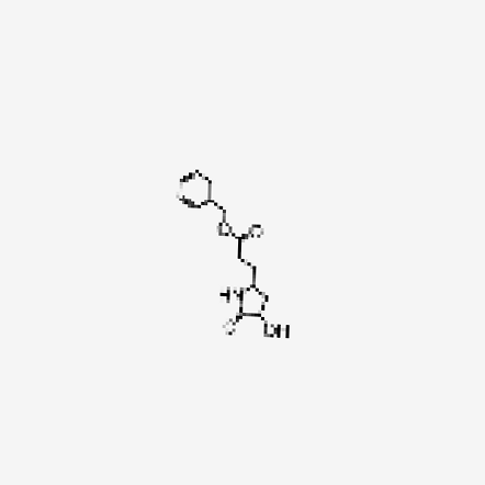 O=C(CCC1CC(O)C(=O)N1)OCc1ccccc1